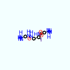 O=C(Nc1ccc(-c2nnn[nH]2)cc1)Nc1cccc(-c2cc(I)cc(NS(=O)(=O)c3ccc(-c4nnn[nH]4)cc3)c2)c1